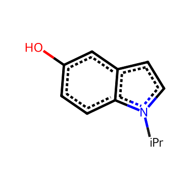 CC(C)n1ccc2cc(O)ccc21